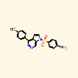 N#Cc1ccc(-c2cncc3c2ccn3S(=O)(=O)c2ccc([N+](=O)[O-])cc2)cc1